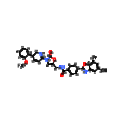 CC(C)c1cc(C#N)cc2nc(-c3ccc(C(=O)NCC4CN(C5=NCC(c6ccccc6OC(F)(F)F)C=C5)C(=O)O4)cc3)oc12